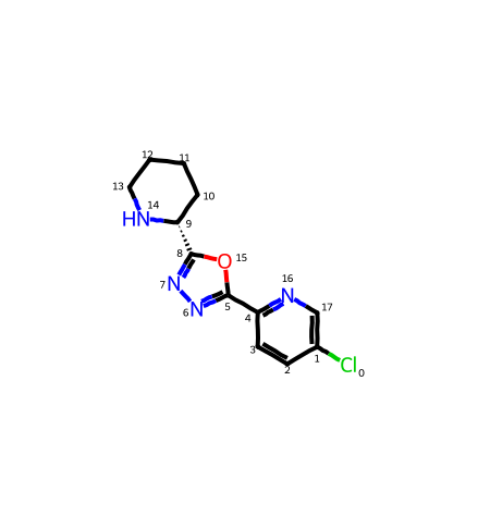 Clc1ccc(-c2nnc([C@H]3CCCCN3)o2)nc1